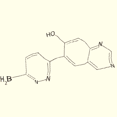 Bc1ccc(-c2cc3cncnc3cc2O)nn1